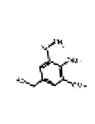 COc1cc(CC(C)=O)cc([Se]C)c1OC